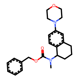 CN(C(=O)OCc1ccccc1)C1CCCc2cc(N3CCOCC3)ccc21